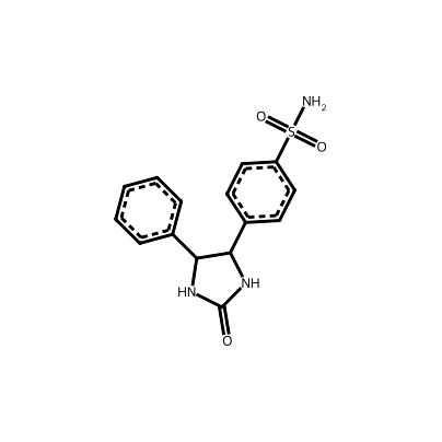 NS(=O)(=O)c1ccc(C2NC(=O)NC2c2ccccc2)cc1